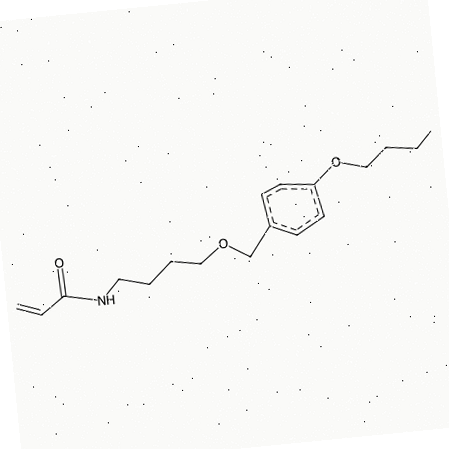 C=CC(=O)NCCCCOCc1ccc(OCCCC)cc1